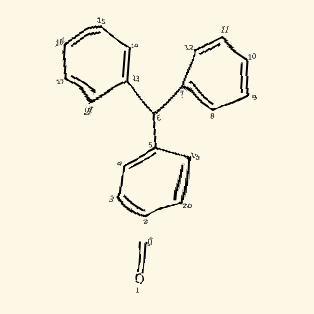 C=O.c1ccc(C(c2ccccc2)c2ccccc2)cc1